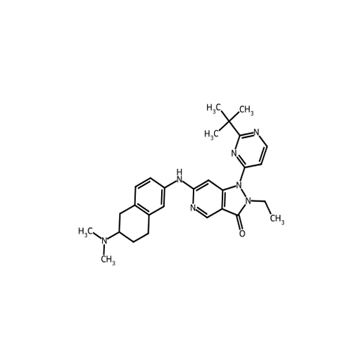 CCn1c(=O)c2cnc(Nc3ccc4c(c3)CCC(N(C)C)C4)cc2n1-c1ccnc(C(C)(C)C)n1